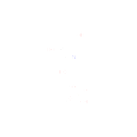 O=S(=O)(O)OCC(O)CN(CCO)CCO